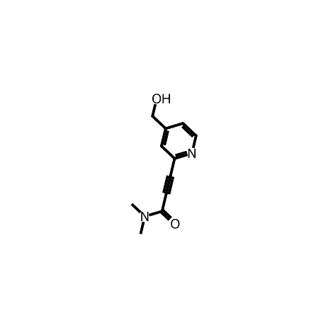 CN(C)C(=O)C#Cc1cc(CO)ccn1